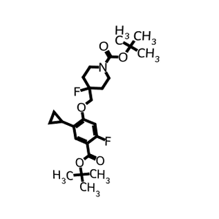 CC(C)(C)OC(=O)c1cc(C2CC2)c(OCC2(F)CCN(C(=O)OC(C)(C)C)CC2)cc1F